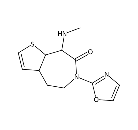 CNC1C(=O)N(c2ncco2)CCC2C=CSC21